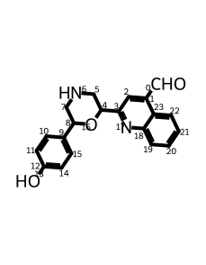 O=Cc1cc(C2CNCC(c3ccc(O)cc3)O2)nc2ccccc12